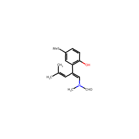 CSc1ccc(O)c(/C(C=C(C)C)=C/N(C)C=O)c1